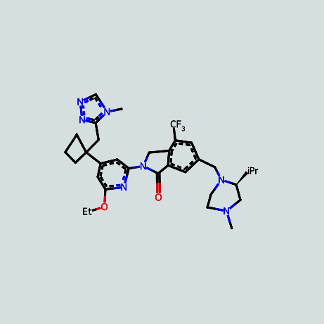 CCOc1cc(C2(Cc3nncn3C)CCC2)cc(N2Cc3c(cc(CN4CCN(C)C[C@@H]4C(C)C)cc3C(F)(F)F)C2=O)n1